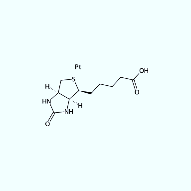 O=C(O)CCCC[C@@H]1SC[C@@H]2NC(=O)N[C@@H]21.[Pt]